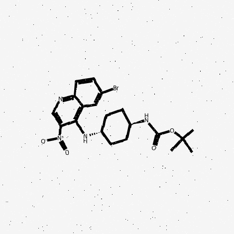 CC(C)(C)OC(=O)N[C@H]1CC[C@H](Nc2c([N+](=O)[O-])cnc3ccc(Br)cc23)CC1